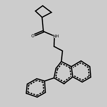 O=C(NCCc1cc(-c2ccccc2)cc2ccccc12)C1CCC1